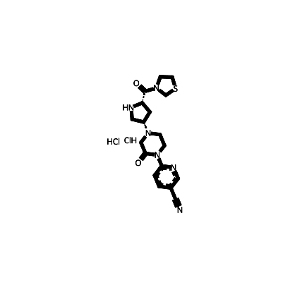 Cl.Cl.N#Cc1ccc(N2CCN([C@@H]3CN[C@H](C(=O)N4CCSC4)C3)CC2=O)nc1